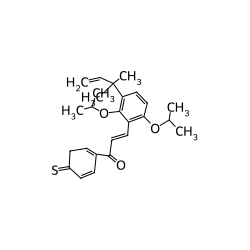 C=CC(C)(C)c1ccc(OC(C)C)c(C=CC(=O)C2=CCC(=S)C=C2)c1OC(C)C